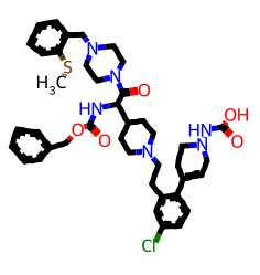 CSc1ccccc1CN1CCN(C(=O)C(NC(=O)OCc2ccccc2)C2CCN(CCc3cc(Cl)ccc3C3=CCN(NC(=O)O)CC3)CC2)CC1